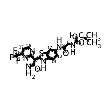 CC(C)(C)OC(=O)NCC(=O)Nc1ccc2c(c1)SC(=C(C(N)=O)c1nccc(C(F)(F)F)n1)N2